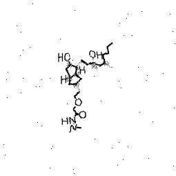 CCCC[C@H](C)C[C@@H](O)C=C[C@@H]1[C@H]2C[C@H](CCOCC(=O)NN(C)C)C[C@H]2C[C@H]1O